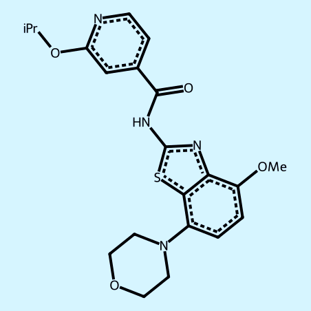 COc1ccc(N2CCOCC2)c2sc(NC(=O)c3ccnc(OC(C)C)c3)nc12